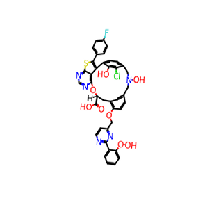 O=C(O)[C@H]1Cc2cc(ccc2OCc2ccnc(-c3ccccc3OO)n2)CN(O)Cc2ccc(c(O)c2Cl)-c2c(-c3ccc(F)cc3)sc3ncnc(c23)O1